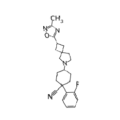 Cc1noc(C2CC3(CCN(C4CCC(C#N)(c5ccccc5F)CC4)C3)C2)n1